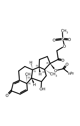 CCCC(=O)O[C@]1(C(=O)COS(C)(=O)=O)CC[C@H]2[C@@H]3CCC4=CC(=O)C=C[C@]4(C)[C@H]3C(O)C[C@@]21C